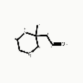 CC1(CC=O)COCCS1